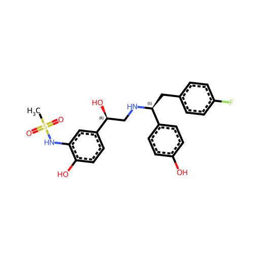 CS(=O)(=O)Nc1cc([C@@H](O)CN[C@@H](Cc2ccc(F)cc2)c2ccc(O)cc2)ccc1O